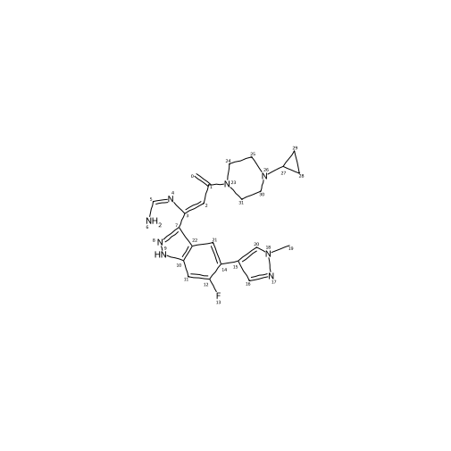 C=C(/C=C(\N=C/N)c1n[nH]c2cc(F)c(-c3cnn(C)c3)cc12)N1CCN(C2CC2)CC1